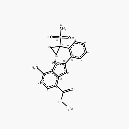 COC(=O)c1cnc(N)c2[nH]c(-c3ccccc3C3(S(C)(=O)=O)CC3)cc12